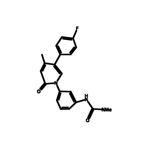 CNC(=O)Nc1cccc(-n2cc(-c3ccc(F)cc3)c(C)cc2=O)c1